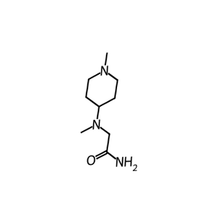 CN1CCC(N(C)CC(N)=O)CC1